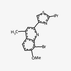 COc1ccc2c(C)cc(-c3csc(C(C)C)n3)nc2c1Br